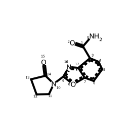 NC(=O)c1[c]ccc2oc(N3CCCC3=O)nc12